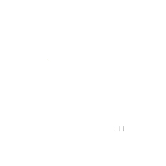 CCCCCCCCc1ccc(Sc2ccccc2)cc1